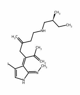 C=C(CCNC[C@@H](C)CC)C/C(C(=C)C)=C1\C(I)=CN\C1=N\C